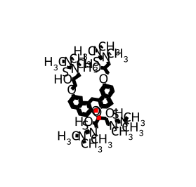 CN(C)C(=S)N(C)CC(O)COc1ccc2ccc(OCC(O)CN(C)C(=S)N(C)C)c(Cc3c(OCC(O)CN(C)C(=S)N(C)C)ccc4ccc(OCC(O)CN(C)C(=S)N(C)C)cc34)c2c1